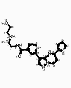 C[C@@H](CNC(=O)c1ccnc(-c2cnn3ccc(-c4cccs4)nc23)c1)NCCO